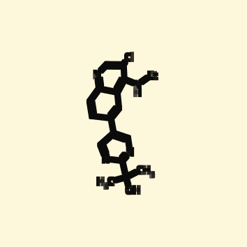 CCNc1c(Cl)cnc2ccc(-c3cnc(C(C)(C)O)nc3)cc12